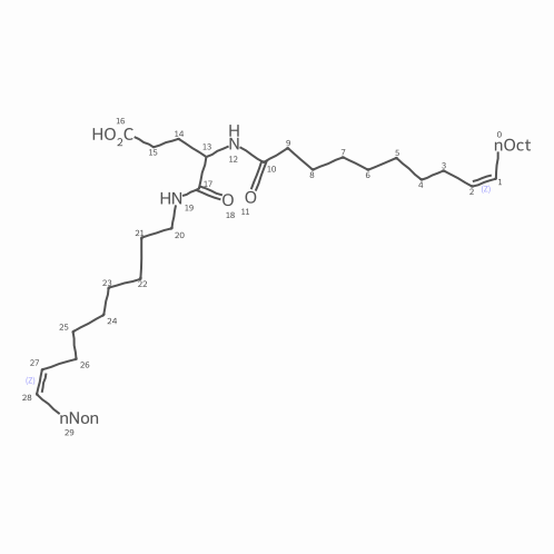 CCCCCCCC/C=C\CCCCCCCC(=O)NC(CCC(=O)O)C(=O)NCCCCCCC/C=C\CCCCCCCCC